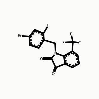 O=C1C(=O)N(Cc2ccc(Br)cc2F)c2c1cccc2C(F)(F)F